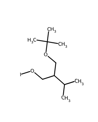 CC(C)C(COI)COC(C)(C)C